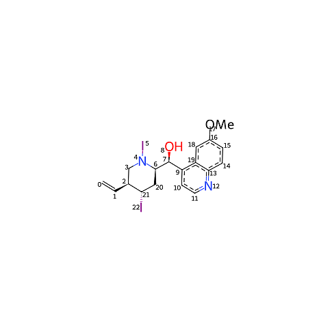 C=C[C@H]1CN(I)[C@@H]([C@@H](O)c2ccnc3ccc(OC)cc23)C[C@@H]1I